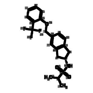 CC(C)S(=O)(=O)N[C@H]1Cc2ccc(COc3ccccc3C(F)(F)F)cc2C1